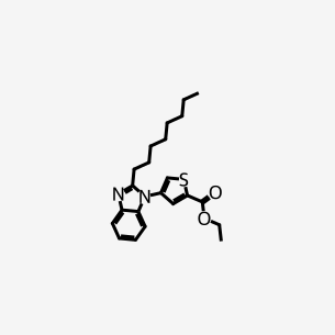 CCCCCCCCc1nc2ccccc2n1-c1csc(C(=O)OCC)c1